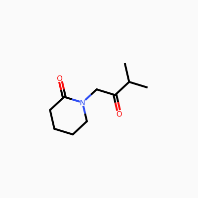 CC(C)C(=O)CN1CCCCC1=O